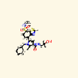 Cc1c(C(=O)NCC(C)(C)O)cc(-c2ccc(S(=O)(=O)NC(C)(C)C)c3scnc23)n1CC1CCCCC1